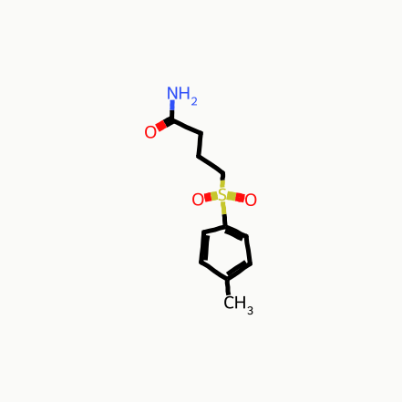 Cc1ccc(S(=O)(=O)CCCC(N)=O)cc1